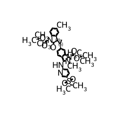 Cc1ccc2c(c1)[C@]1(C[C@H]1c1ccc3c(Nc4ncc(S(=O)(=O)C(C)C)cc4C)nn(C(=O)OC(C)(C)C)c3c1)C(=O)N2C(=O)OC(C)(C)C